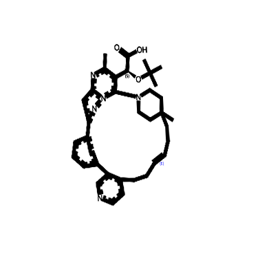 Cc1nc2cc3nn2c(c1[C@H](OC(C)(C)C)C(=O)O)N1CCC(C)(CC/C=C/CCc2ccncc2-c2cccc-3c2)CC1